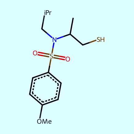 COc1ccc(S(=O)(=O)N(CC(C)C)C(C)CS)cc1